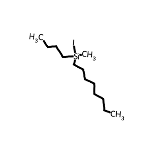 CCCCCCCC[Si](C)(I)CCCC